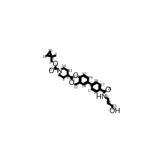 CC1(COC(=O)N2CCC(C3OCc4cc(-c5ccc(C(=O)NCCCO)cc5)ccc4O3)CC2)CC1